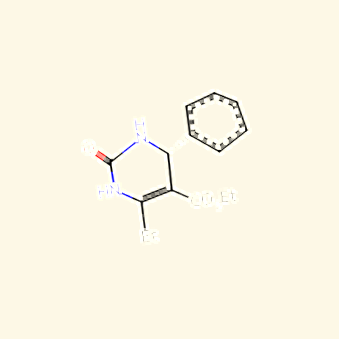 CCOC(=O)C1=C(CC)NC(=O)N[C@@H]1c1ccccc1